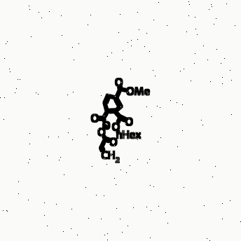 C=CC(=O)OOC(=O)c1ccc(C(=O)OC)cc1C(=O)OCCCCCC